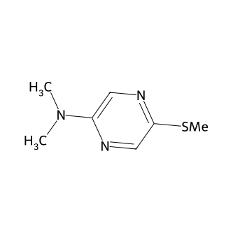 CSc1cnc(N(C)C)cn1